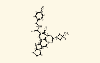 CC1(F)CN(C(=O)Cn2c(=O)c(C(=O)NCc3ccc(Cl)cc3)cc3c4nc5n(c4cnc32)CCO5)C1